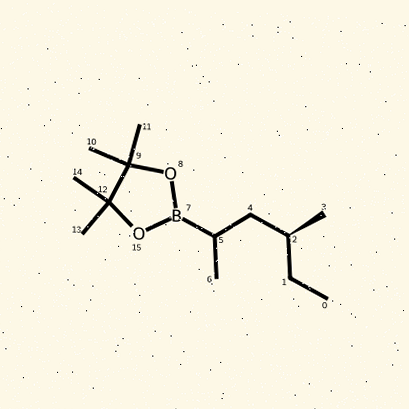 CC[C@H](C)CC(C)B1OC(C)(C)C(C)(C)O1